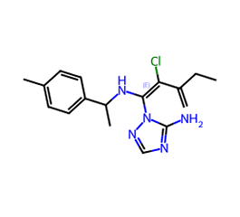 C=C(CC)/C(Cl)=C(/NC(C)c1ccc(C)cc1)n1ncnc1N